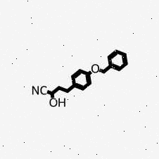 N#CC(O)CCc1ccc(OCc2ccccc2)cc1